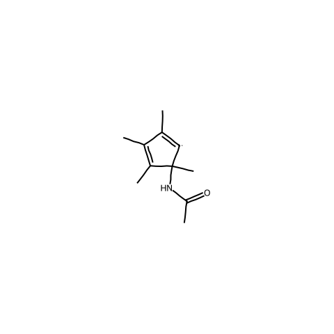 CC(=O)NC1(C)[C]=C(C)C(C)=C1C